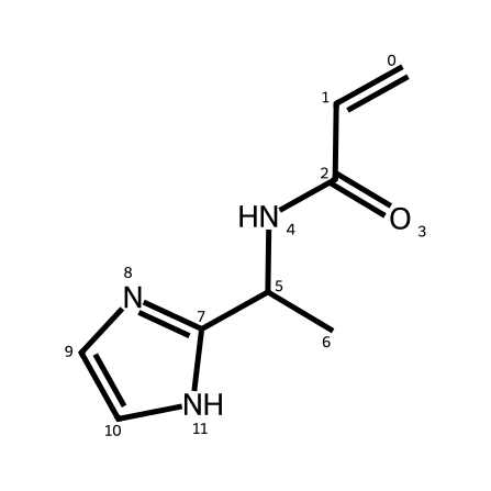 C=CC(=O)NC(C)c1ncc[nH]1